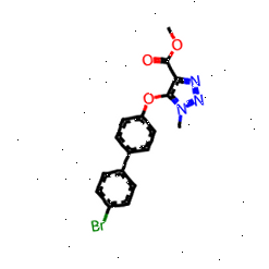 COC(=O)c1nnn(C)c1Oc1ccc(-c2ccc(Br)cc2)cc1